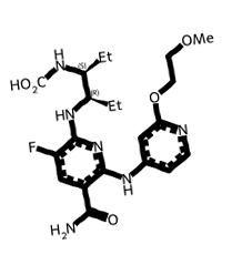 CC[C@H](NC(=O)O)[C@@H](CC)Nc1nc(Nc2ccnc(OCCOC)c2)c(C(N)=O)cc1F